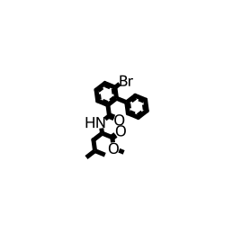 COC(=O)C(CC(C)C)NC(=O)c1cccc(Br)c1-c1ccccc1